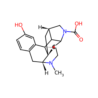 CN1CC[C@@]23c4cc(O)ccc4C[C@@H]1[C@]21CCC2C3[C@@H](CN2C(=O)O)C1